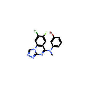 CN(c1cccc(Br)c1)c1nc2nncn2c2cc(Cl)c(F)cc12